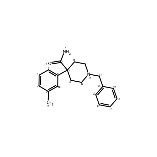 NC(=O)C1(c2cccc(C(F)(F)F)c2)CCN(Cc2ccccc2)CC1